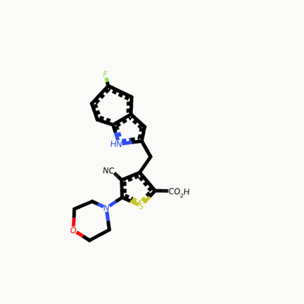 N#Cc1c(N2CCOCC2)sc(C(=O)O)c1Cc1cc2cc(F)ccc2[nH]1